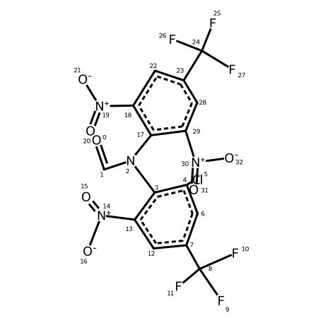 O=CN(c1c(Cl)cc(C(F)(F)F)cc1[N+](=O)[O-])c1c([N+](=O)[O-])cc(C(F)(F)F)cc1[N+](=O)[O-]